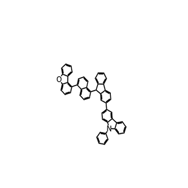 c1ccc(-n2c3ccccc3c3cc(-c4ccc5c(c4)C(c4cccc6c(-c7cccc8oc9ccccc9c78)cccc46)c4ccccc4-5)ccc32)cc1